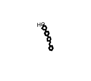 OC1CCC(c2ccc(C3CCC(CCc4ccccc4)CC3)cc2)CC1